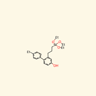 CCO[Si](CCCc1cc(O)ccc1-c1ccc(CC)cc1)(OCC)OCC